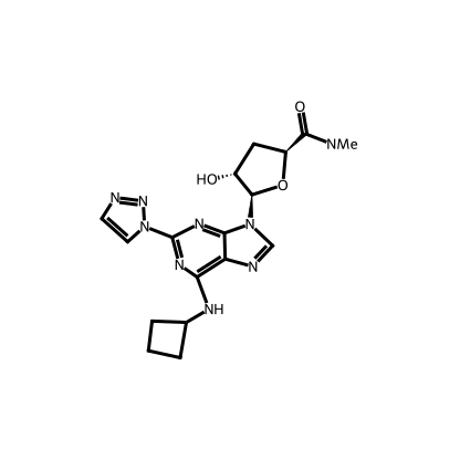 CNC(=O)[C@@H]1C[C@@H](O)[C@H](n2cnc3c(NC4CCC4)nc(-n4ccnn4)nc32)O1